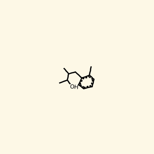 Cc1ccccc1CC(C)C(C)O